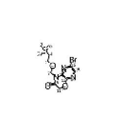 C[Si](C)(C)CCOCN1C(=O)COc2ncc(Br)nc21